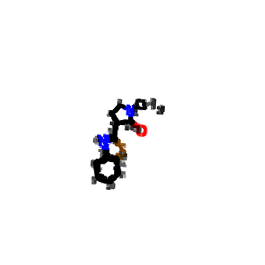 CN1CCC(c2nc3ccccc3s2)C1=O